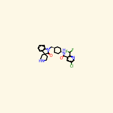 O=C(N[C@H]1CC[C@H](CN2C(=O)C3(CCNCC3)c3ccccc32)CC1)c1cc(Cl)cnc1C(F)F